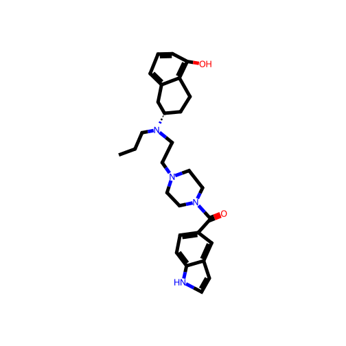 CCCN(CCN1CCN(C(=O)c2ccc3[nH]ccc3c2)CC1)[C@H]1CCc2c(O)cccc2C1